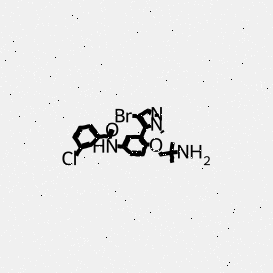 Cn1ncc(Br)c1-c1cc(NC(=O)c2cccc(Cl)c2)ccc1OCC(C)(C)N